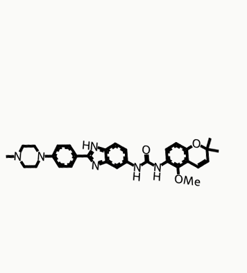 COc1c(NC(=O)Nc2ccc3[nH]c(-c4ccc(N5CCN(C)CC5)cc4)nc3c2)ccc2c1C=CC(C)(C)O2